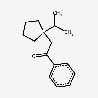 CC(C)S1(CC(=O)c2ccccc2)CCCC1